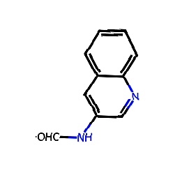 O=[C]Nc1cnc2ccccc2c1